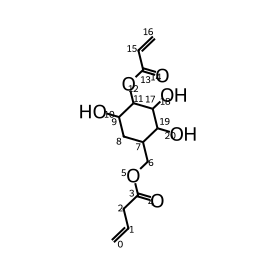 C=CCC(=O)OCC1CC(O)C(OC(=O)C=C)C(O)C1O